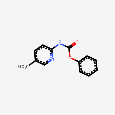 CCOC(=O)c1ccc(NC(=O)Oc2ccccc2)nc1